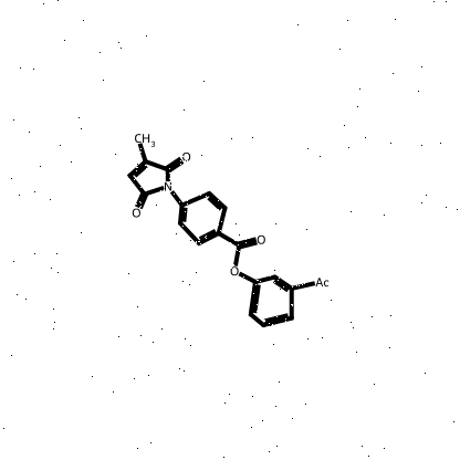 CC(=O)c1cccc(OC(=O)c2ccc(N3C(=O)C=C(C)C3=O)cc2)c1